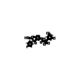 C#CCN(C(=O)c1cc(NC(=O)C2C(c3cc(Cl)cc(Cl)c3)C2(Cl)Cl)ccc1Cl)c1ccc(F)cc1